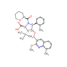 COc1nc2c(C)cccc2cc1CO[C@H]1[C@H](C(C)(C)C)[C@@H](C(=O)O)N(C(=O)[C@@H]2CCCCO2)[C@H]1c1ccccc1C